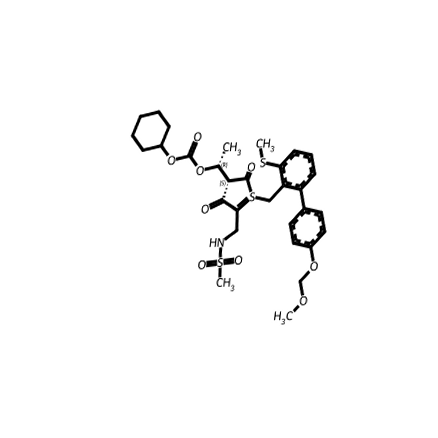 COCOc1ccc(-c2cccc(SC)c2CS2=C(CNS(C)(=O)=O)C(=O)[C@H]([C@@H](C)OC(=O)OC3CCCCC3)C2=O)cc1